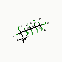 C[Si](C)(C)C(F)(F)C(F)(F)C(F)(F)C(F)(F)C(F)(F)F